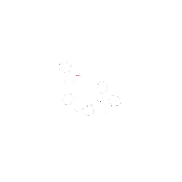 CC(c1cccc2c1Sc1c(O[Si](c3ccccc3)(c3ccccc3)C(C)(C)C)cccc1N2C)N1C(=O)c2ccccc2C1=O